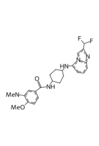 CNc1cc(C(=O)NC2CCC(Nc3cccc4nc(C(F)F)cn34)CC2)ccc1OC